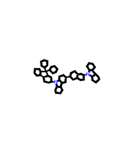 c1ccc(C2(c3ccccc3)c3ccccc3-c3ccc(-n4c5ccccc5c5cc(-c6ccc7cc(-n8c9ccccc9c9ccccc98)ccc7c6)ccc54)cc32)cc1